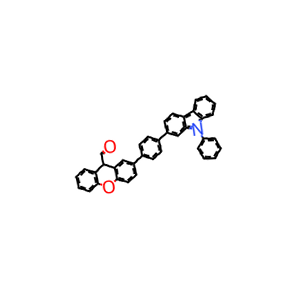 O=CC1c2ccccc2Oc2ccc(-c3ccc(-c4ccc5c6ccccc6n(-c6ccccc6)c5c4)cc3)cc21